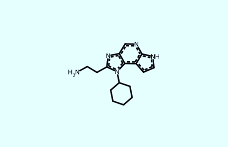 NCCc1nc2cnc3[nH]ccc3c2n1C1CCCCC1